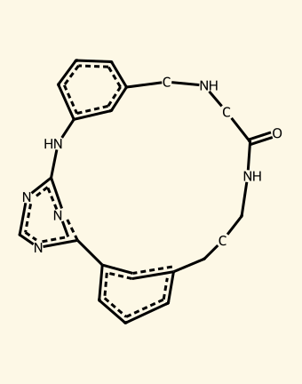 O=C1CNCc2cccc(c2)Nc2ncnc(n2)-c2cccc(c2)CCCN1